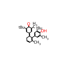 CC1=CC(=C2CC=CC(C)=C2c2cc(C)c(O)c(C(C)(C)C)c2)C=C(C(C)(C)C)C1=O